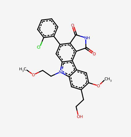 COCCn1c2cc(CCO)c(OC)cc2c2c3c(c(-c4ccccc4Cl)cc21)C(=O)NC3=O